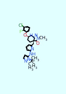 CN(N)C(=O)[C@]1(Cc2cccc(Nc3ccnn3C(C)(C)C)n2)CC[C@@H](Oc2cccc(Cl)c2F)CC1